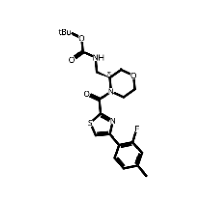 Cc1ccc(-c2csc(C(=O)N3CCOC[C@@H]3CNC(=O)OC(C)(C)C)n2)c(F)c1